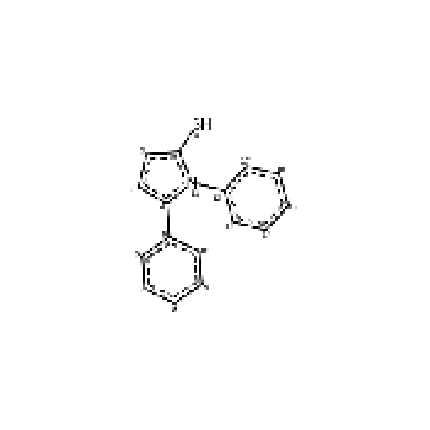 Sc1ccc(-c2ccccc2)n1-c1ccccc1